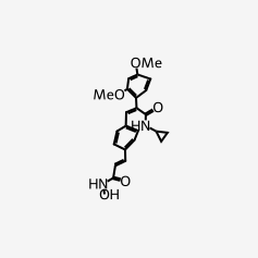 COc1ccc(C(=Cc2ccc(C=CC(=O)NO)cc2)C(=O)NC2CC2)c(OC)c1